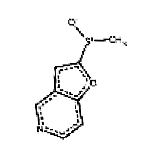 C[S+]([O-])c1cc2cnccc2o1